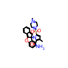 Cc1cc(S(=O)(=O)N2CCN(C)CC2)n(C23C=c4ccccc4=C2Oc2ccccc23)c1C(N)=O